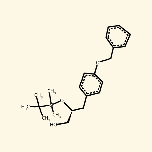 CC(C)(C)[Si](C)(C)O[C@H](CO)Cc1ccc(OCc2ccccc2)cc1